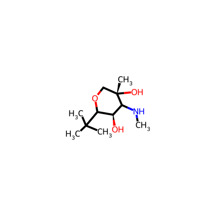 CNC1[C@@H](O)C(C(C)(C)C)OC[C@]1(C)O